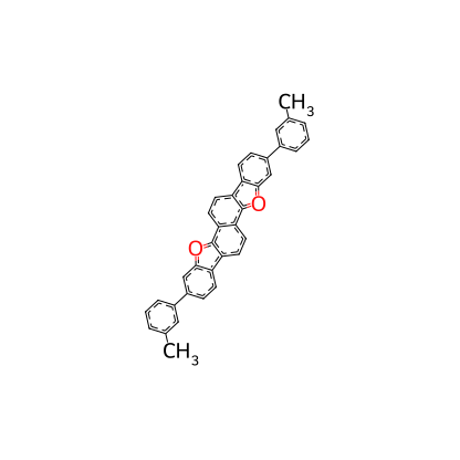 Cc1cccc(-c2ccc3c(c2)oc2c3ccc3c2ccc2c4ccc(-c5cccc(C)c5)cc4oc23)c1